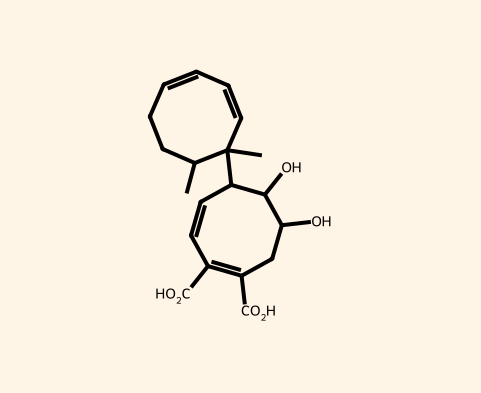 CC1CCC=CC=CC1(C)C1C=CC(C(=O)O)=C(C(=O)O)CC(O)C1O